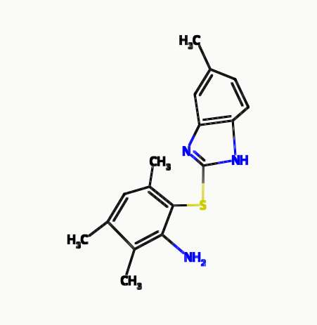 Cc1ccc2[nH]c(Sc3c(C)cc(C)c(C)c3N)nc2c1